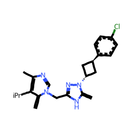 C=C1C(C(C)C)=C(C)N=CN1CC1=NN([C@H]2C[C@H](c3ccc(Cl)cc3)C2)C(=C)N1